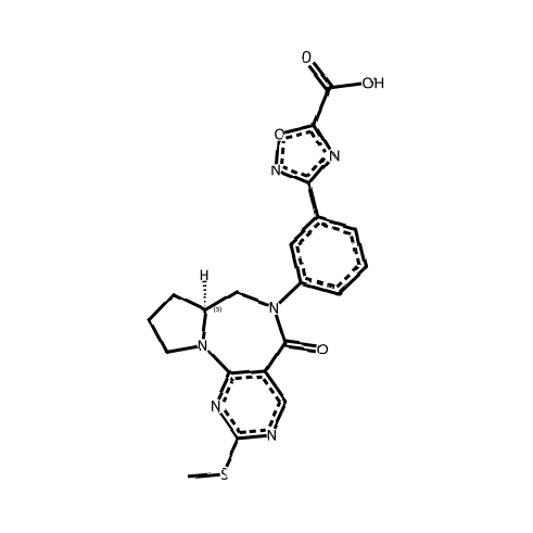 CSc1ncc2c(n1)N1CCC[C@H]1CN(c1cccc(-c3noc(C(=O)O)n3)c1)C2=O